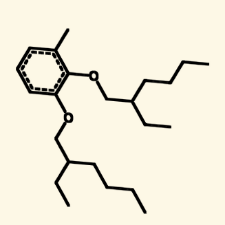 CCCCC(CC)COc1cccc(C)c1OCC(CC)CCCC